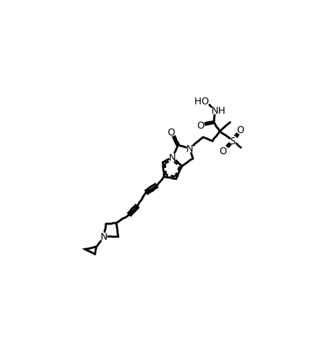 CC(CCN1Cc2cc(C#CC#CC3CN(C4CC4)C3)cn2C1=O)(C(=O)NO)S(C)(=O)=O